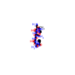 C[C@H](NC(=O)[C@@H]1CCC(=O)N1)C(=O)N[C@@H](CCCCN)C(=O)N[C@@H](CO)C(=O)N[C@@H](CCC(N)=O)C(=O)NCC(=O)NCC(=O)N[C@@H](CO)C(=O)N[C@@H](CC(N)=O)C(=O)N[C@@H](Cc1ccccc1)C(N)=O